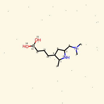 CC1NC(CN(C)C)CC1CCCB(O)O